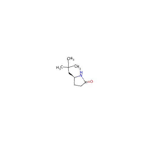 CC(C)(C)C[C@@H]1CCC(=O)N1